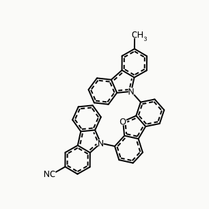 Cc1ccc2c(c1)c1ccccc1n2-c1cccc2c1oc1c(-n3c4ccccc4c4cc(C#N)ccc43)cccc12